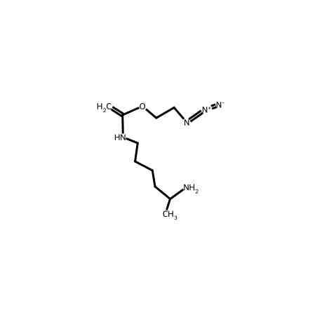 C=C(NCCCCC(C)N)OCCN=[N+]=[N-]